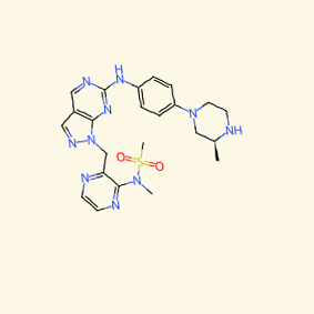 C[C@H]1CN(c2ccc(Nc3ncc4cnn(Cc5nccnc5N(C)S(C)(=O)=O)c4n3)cc2)CCN1